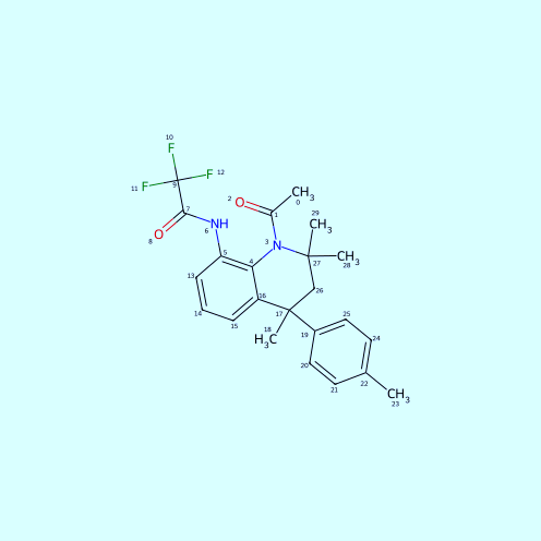 CC(=O)N1c2c(NC(=O)C(F)(F)F)cccc2C(C)(c2ccc(C)cc2)CC1(C)C